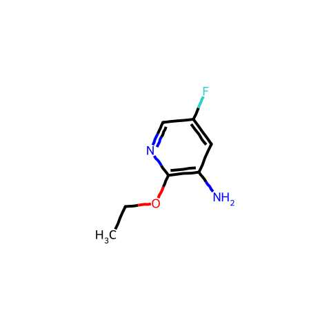 CCOc1ncc(F)cc1N